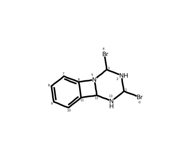 BrC1NC(Br)N2c3ccccc3C2N1